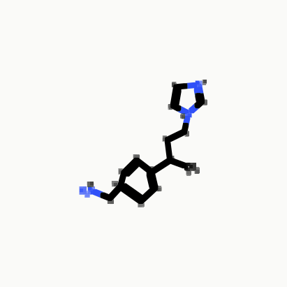 CC(CCn1ccnc1)c1ccc(CN)cc1